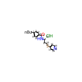 CCCCc1ccc(C(=O)NCCCSc2ccncc2)cc1.Cl